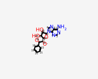 Nc1ncnc2c1ncn2[C@@H]1O[C@H](C([O])C(=O)c2ccccc2)[C@@H](O)[C@H]1O